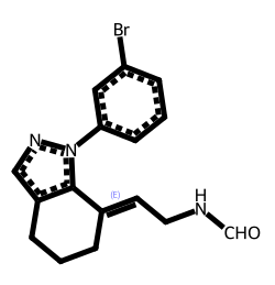 O=CNC/C=C1\CCCc2cnn(-c3cccc(Br)c3)c21